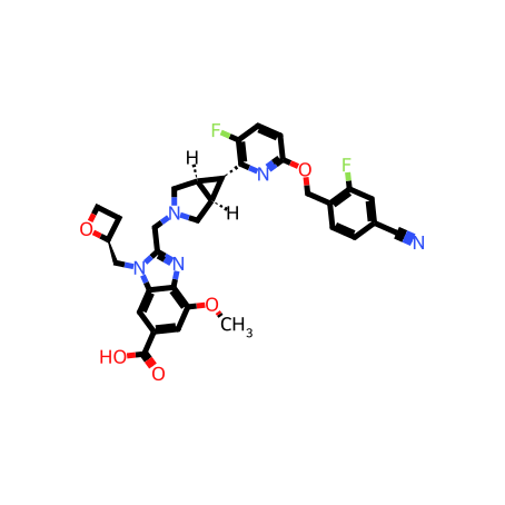 COc1cc(C(=O)O)cc2c1nc(CN1C[C@@H]3[C@H](C1)[C@H]3c1nc(OCc3ccc(C#N)cc3F)ccc1F)n2C[C@@H]1CCO1